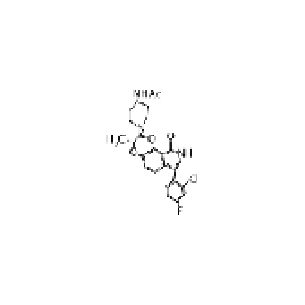 CC(=O)NC1CCN(C(=O)[C@@H](C)Oc2ccc3c(-c4ccc(F)cc4Cl)c[nH]c(=O)c3c2)CC1